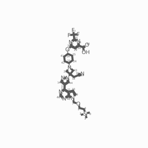 C[Si](C)(C)CCOCn1ccc2c(-c3cnn(C4(CC#N)CN([C@H]5CC[C@@H](Oc6cc(C(=O)O)nc(C(F)(F)F)n6)CC5)C4)c3)ncnc21